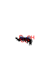 C=CCC1=CC2CC1C1C(=O)N(Cc3cccc(CN4C(=O)C5C(C6C=C(CC=C)[C@H]5C6)C4O)c3)C(O)C21